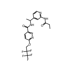 CCC(=O)Nc1cc(C(C)NC(=O)c2ccc(OCC(F)(F)C(F)(F)F)nn2)ccn1